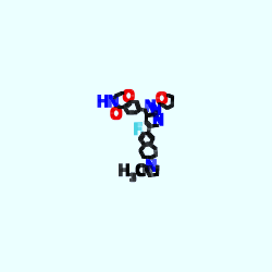 C[C@@H]1CCCN1C1CCc2cc(F)c(-c3cnc4c(c3)c(-c3ccc5c(c3)OCCNC5=O)nn4C3CCCCO3)cc2CC1